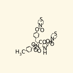 Cc1ccc(S(=O)(=O)N(C(=O)[C@@H]2CC(OC(=O)N3CCSCC3)CN2)[C@@H](Cc2ccc(OC(=O)N3CCSCC3)cc2)C(=O)O)cc1